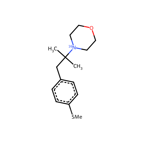 CSc1ccc(CC(C)(C)[16N]2CCOCC2)cc1